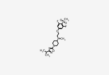 CC(C)c1noc(N2CCC(N(C)CCOc3cc(F)c(S(C)(=O)=O)c(F)c3)CC2)n1